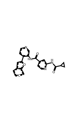 O=C(Nc1cnccc1-c1cc2ccccc2o1)c1ccnc(NC(=O)C2CC2)c1